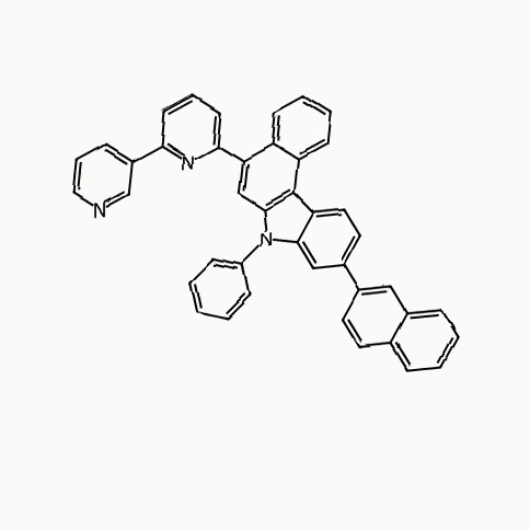 c1ccc(-n2c3cc(-c4ccc5ccccc5c4)ccc3c3c4ccccc4c(-c4cccc(-c5cccnc5)n4)cc32)cc1